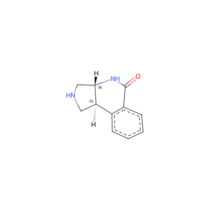 O=C1N[C@H]2CNC[C@@H]2c2ccccc21